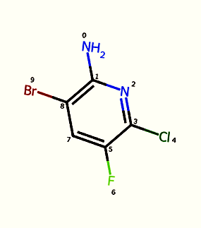 Nc1nc(Cl)c(F)cc1Br